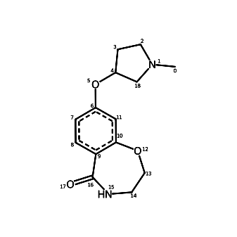 CN1CCC(Oc2ccc3c(c2)OCCNC3=O)C1